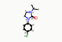 CC(C)N1CCN(c2ccc(F)cc2)C1=O